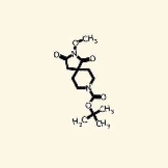 CON1C(=O)CC2(CCN(C(=O)OC(C)(C)C)CC2)C1=O